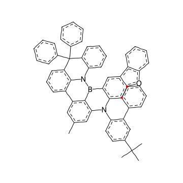 Cc1cc2c3c(c1)N(c1ccc(C(C)(C)C)cc1-c1ccccc1)c1cc4oc5ccccc5c4cc1B3N1c3ccccc3C(c3ccccc3)(c3ccccc3)c3cccc-2c31